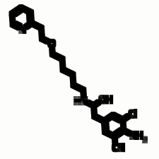 N#Cc1cc(CC(O)NCCCCCCOCCc2ccccn2)cc(Cl)c1N